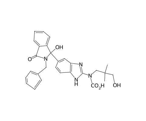 CC(C)(CO)CN(C(=O)O)c1nc2cc(C3(O)c4ccccc4C(=O)N3Cc3ccccc3)ccc2[nH]1